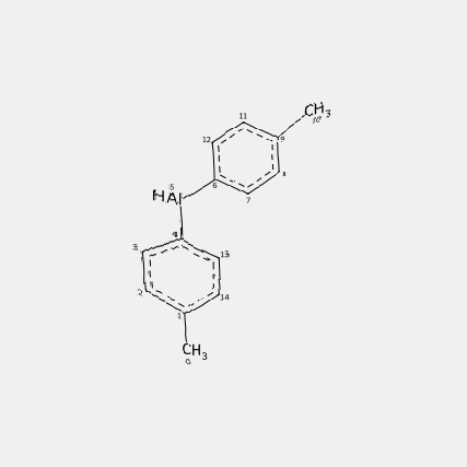 Cc1cc[c]([AlH][c]2ccc(C)cc2)cc1